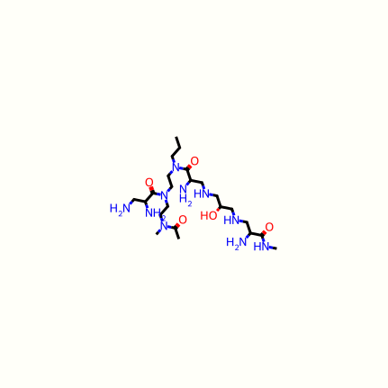 CCCN(CCN(CCN(C)C(C)=O)C(=O)C(N)CN)C(=O)C(N)CNCC(O)CNCC(N)C(=O)NC